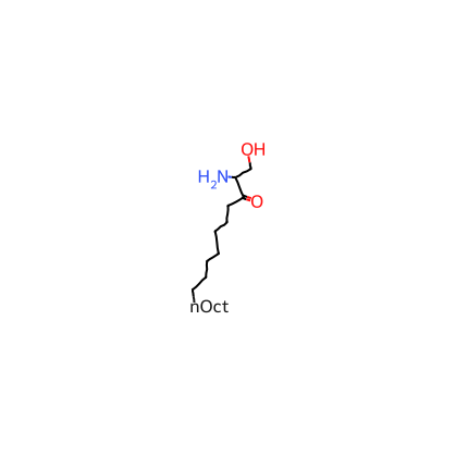 CCCCCCCCCCCCCCCC(=O)C(N)CO